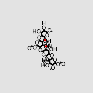 COC1OC(OC=O)C(OC2OC(OC=O)C(OC3OC(OC=O)C(OC4OC(OC=O)C(OC)C(O)C4O)C(O)C3O)C(O)C2O)C(O)C1O